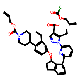 C=CCOC(=O)Cl.C=CCOC(=O)N1CCC(c2ccc(OC3CCc4cccc(-c5cccc(-n6ncc(C(=O)O)c6CC)n5)c43)cc2CC)CC1